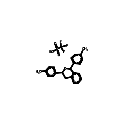 Cc1ccc(C2Cc3ccccc3C(c3ccc(C)cc3)O2)cc1.O=S(=O)(O)C(F)(F)F